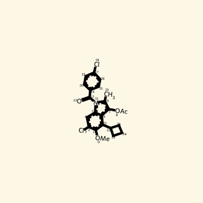 COc1c(Cl)cc2c(c(OC(C)=O)c(C)n2C(=O)c2ccc(Cl)cc2)c1C1CCC1